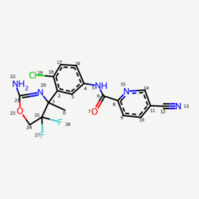 CC1(c2cc(NC(=O)c3ccc(C#N)cn3)ccc2Cl)N=C(N)OCC1(F)F